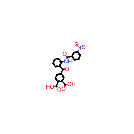 O=C(Nc1ccccc1C(=O)c1ccc(C(=O)O)c(C(=O)O)c1)c1cccc([N+](=O)[O-])c1